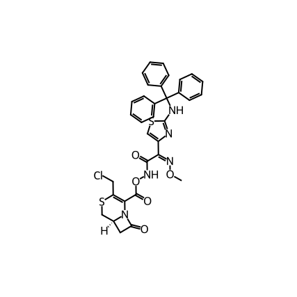 CON=C(C(=O)NOC(=O)C1=C(CCl)SC[C@@H]2CC(=O)N12)c1csc(NC(c2ccccc2)(c2ccccc2)c2ccccc2)n1